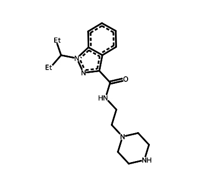 CCC(CC)n1nc(C(=O)NCCN2CCNCC2)c2ccccc21